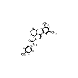 Cc1cc(C)cc(C(=O)N2CCCCC2CC(=O)Nc2ccc(Cl)cc2)c1